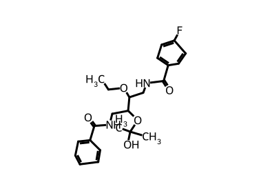 CCOC(CNC(=O)c1ccc(F)cc1)C(CNC(=O)c1ccccc1)OC(C)(C)O